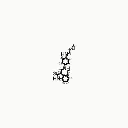 COCCNc1ccc(N/C=C2/C(=O)Nc3cccc(F)c32)cc1